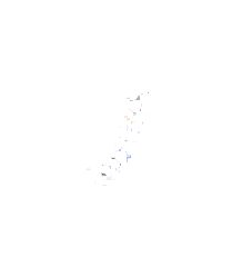 [2H]C([2H])(Nc1cnn(C2CCN(S(=O)(=O)c3ccc(C#N)cc3)CC2)c(=O)c1Cl)[C@H]1CCCOC1